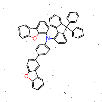 c1ccc(C2(c3ccccc3)c3ccccc3-c3c(N(c4ccc(-c5ccc6oc7ccccc7c6c5)cc4)c4cccc5c4oc4ccccc45)cccc32)cc1